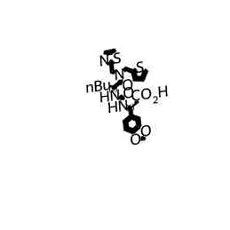 CCCC[C@H](NC(=O)N[C@@H](CC(=O)O)c1ccc2c(c1)OCO2)C(=O)N(Cc1cccs1)Cc1nccs1